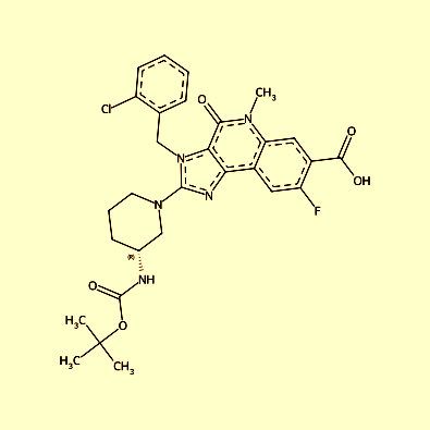 Cn1c(=O)c2c(nc(N3CCC[C@@H](NC(=O)OC(C)(C)C)C3)n2Cc2ccccc2Cl)c2cc(F)c(C(=O)O)cc21